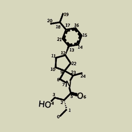 CC[C@H](CO)C(=O)N1CC2(CC[C@@H](c3cccc(C(C)C)c3)C2)C1C